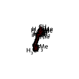 C=C/C=C/C=C(\C)[C@H](C[C@@H]1CC[C@@H](C)[C@](O)(C(=O)C(=O)N2CCCC[C@H]2C(=O)O[C@@H](C[C@@H](O)[C@H](C)/C=C(\C)[C@@H](O)[C@@H](O)/C(=N/OCC(=O)NCCOCCOCCOCCOCCOCCOCCC(=O)N2CCN(c3ccc(-n4c(=O)n(C)c5cnc6ccc(-c7ccc(OC)nc7)cc6c54)cc3C(F)(F)F)CC2)[C@H](C)CC(C)C)[C@H](N)C[C@@H]2CC[C@@H](O)[C@H](OC)C2)O1)OC